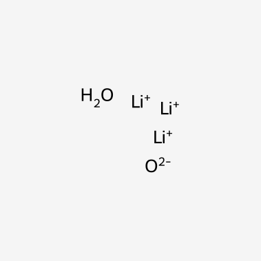 O.[Li+].[Li+].[Li+].[O-2]